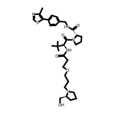 Cc1ncsc1-c1ccc(CNC(=O)[C@@H]2CCCN2C(=O)[C@@H](NC(=O)CCOCCCN2CCC[C@H]2CO)C(C)(C)C)cc1